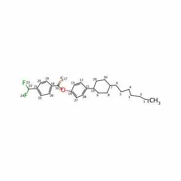 CCCCCCCC1CCC(c2ccc(OC(=S)c3ccc(C(F)F)cc3)cc2)CC1